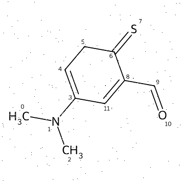 CN(C)C1=CCC(=S)C(C=O)=C1